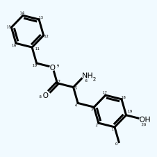 Cc1cc(CC(N)C(=O)OCc2ccccc2)ccc1O